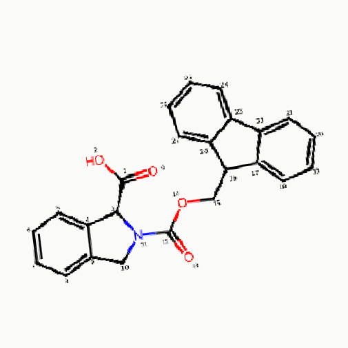 O=C(O)[C@@H]1c2ccccc2CN1C(=O)OCC1c2ccccc2-c2ccccc21